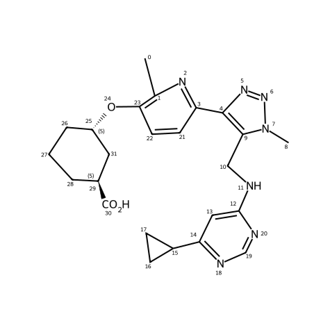 Cc1nc(-c2nnn(C)c2CNc2cc(C3CC3)ncn2)ccc1O[C@H]1CCC[C@H](C(=O)O)C1